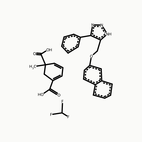 CC1(C(=O)O)C=CC=C(C(=O)O)C1.FC(F)F.c1ccc(-c2nn[nH]c2COc2ccc3ccccc3c2)cc1